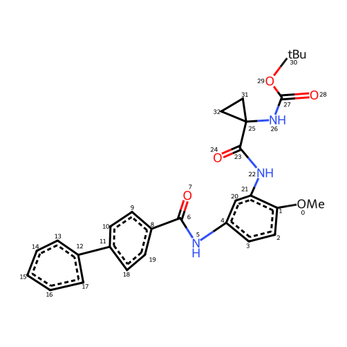 COc1ccc(NC(=O)c2ccc(-c3ccccc3)cc2)cc1NC(=O)C1(NC(=O)OC(C)(C)C)CC1